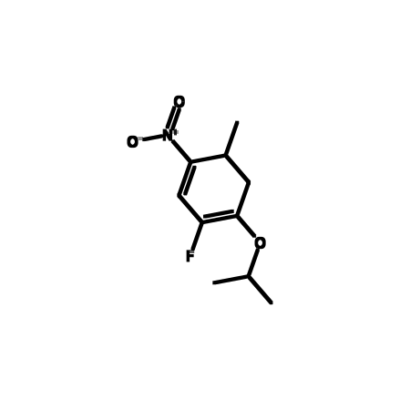 CC(C)OC1=C(F)C=C([N+](=O)[O-])C(C)C1